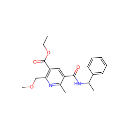 CCOC(=O)c1cc(C(=O)NC(C)c2ccccc2)c(C)nc1COC